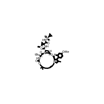 C=C[C@@H]1C[C@]1(NC(=O)[C@@H]1C[C@@H]2CN1C(=O)[C@H](C(C)(C)C)NC(=O)OCC(C)(C)CCC=CCn1cc(C)c3c4ccc(OC)cc4nc(c31)O2)C(=O)NS(=O)(=O)C1CC1